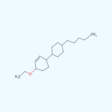 CCCCCC1CCC(C2C=CC(OCC)CC2)CC1